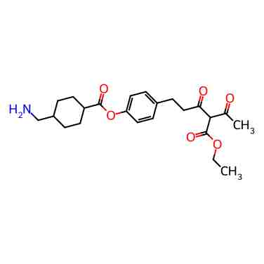 CCOC(=O)C(C(C)=O)C(=O)CCc1ccc(OC(=O)C2CCC(CN)CC2)cc1